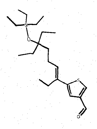 CC/C(=C\CCC(CC)(CC)O[Si](CC)(CC)CC)c1cc(C=O)cs1